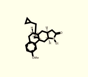 CCN1C(=O)C[C@@H]2C[C@@]3(O)[C@H]4Cc5ccc(OC)cc5[C@@]3(CCN4CC3CC3)C[C@@H]21